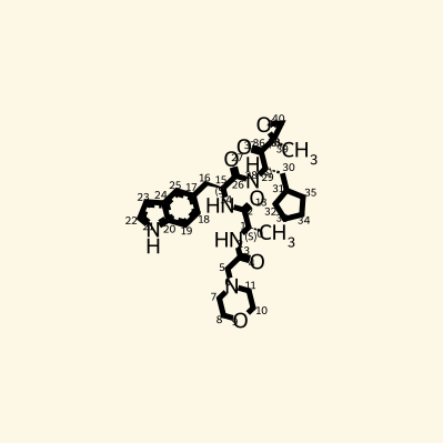 C[C@H](NC(=O)CN1CCOCC1)C(=O)N[C@@H](Cc1ccc2[nH]ccc2c1)C(=O)N[C@@H](CC1CCCC1)C(=O)[C@]1(C)CO1